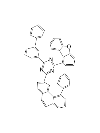 c1ccc(-c2cccc(-c3nc(-c4ccc5ccc6cccc(-c7ccccc7)c6c5c4)nc(-c4cccc5oc6ccccc6c45)n3)c2)cc1